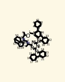 CCOC(C)/C=C(\C=C(/C)c1nc(-n2c3ccccc3c3ccccc32)nc(-n2c3ccccc3c3cc(-c4ccccc4)ccc32)n1)N1C2CCC3CC1CC3C2